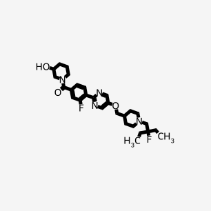 CCC(F)(CC)CN1CCC(COc2cnc(-c3ccc(C(=O)N4CCCC(O)C4)cc3F)nc2)CC1